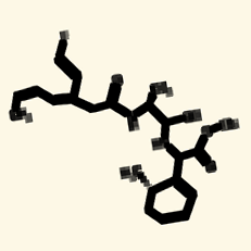 C\C=C/C=C(\C=C\F)CC(=O)N[C@@H](C)C(O)NC(C(=O)OC(C)(C)C)C1=CC=CC[C@@H]1C